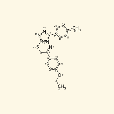 CCOc1ccc(C2=Nn3c(nnc3-c3ccc(C)cc3)SC2)cc1